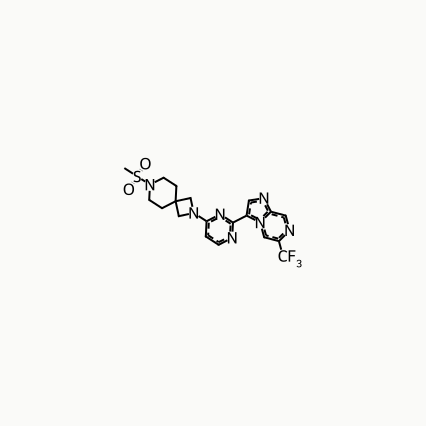 CS(=O)(=O)N1CCC2(CC1)CN(c1ccnc(-c3cnc4cnc(C(F)(F)F)cn34)n1)C2